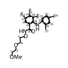 COCCOCCONC(=O)c1cc(F)c(F)c(F)c1Nc1ccc(I)cc1C